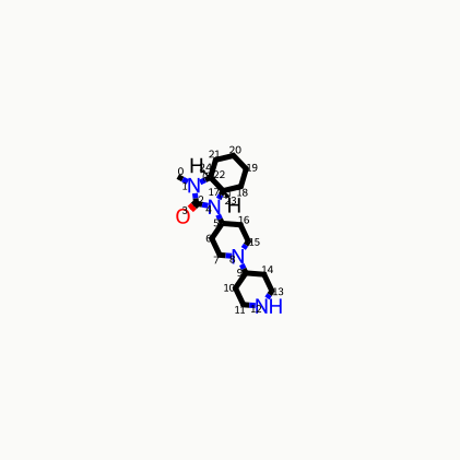 CN1C(=O)N(C2CCN(C3CCNCC3)CC2)[C@H]2CCCC[C@@H]21